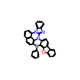 c1ccc(B2c3c(ccc4c3oc3ccccc34)-n3c4c2ccc2cccc(c24)n2c4ccccc4nc32)cc1